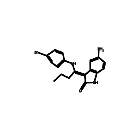 CCCC(Nc1ccc(Br)cc1)=C1C(=O)Nc2ccc(N)cc21